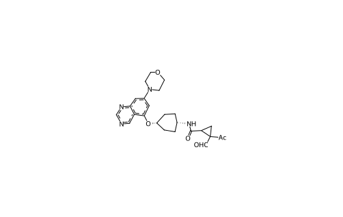 CC(=O)C1(C=O)CC1C(=O)N[C@H]1CC[C@@H](Oc2cc(N3CCOCC3)cc3ncncc23)CC1